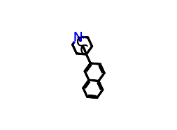 c1ccc2cc(C34CCN(CC3)CC4)ccc2c1